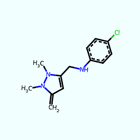 C=C1C=C(CNc2ccc(Cl)cc2)N(C)N1C